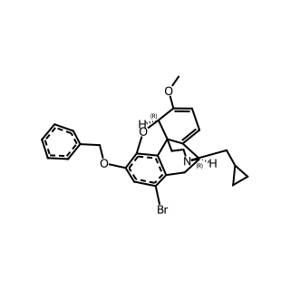 COC1=CC=C2[C@H]3Cc4c(Br)cc(OCc5ccccc5)c5c4C2(CCN3CC2CC2)[C@H]1O5